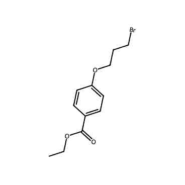 CCOC(=O)c1ccc(OCCCBr)cc1